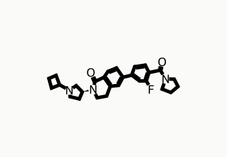 O=C(c1ccc(-c2ccc3c(c2)CCN([C@@H]2CCN(C4CCC4)C2)C3=O)cc1F)N1CCCC1